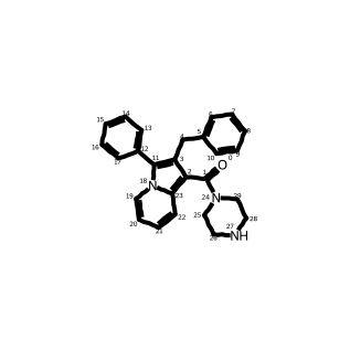 O=C(c1c(Cc2ccccc2)c(-c2ccccc2)n2ccccc12)N1CCNCC1